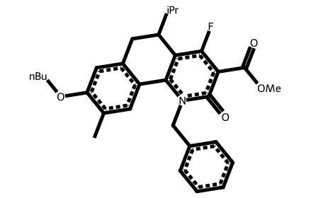 CCCCOc1cc2c(cc1C)-c1c(c(F)c(C(=O)OC)c(=O)n1Cc1ccccc1)C(C(C)C)C2